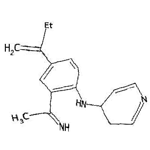 C=C(CC)c1ccc(NC2C=CN=CC2)c(C(C)=N)c1